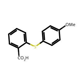 COc1ccc(Sc2ccccc2C(=O)O)cc1